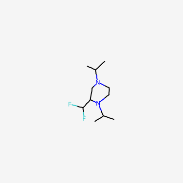 CC(C)N1CCN(C(C)C)C(C(F)F)C1